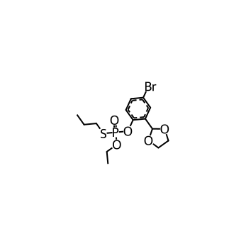 CCCSP(=O)(OCC)Oc1ccc(Br)cc1C1OCCO1